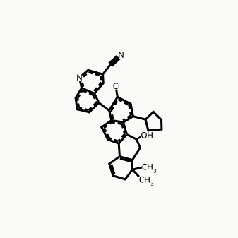 CC1(C)CC=CC2=C1C[C@H](O)c1c2ccc2c(-c3cccc4ncc(C#N)cc34)c(Cl)cc(C3CCCC3)c12